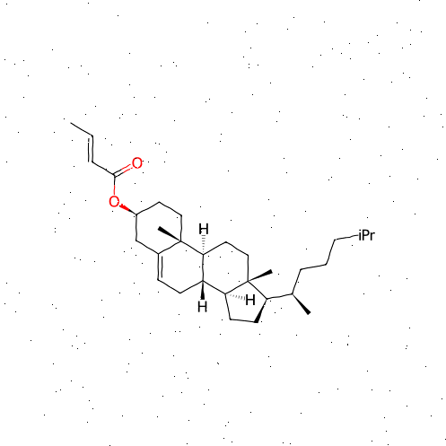 CC=CC(=O)O[C@H]1CC[C@@]2(C)C(=CC[C@H]3[C@@H]4CC[C@H]([C@H](C)CCCC(C)C)[C@@]4(C)CC[C@@H]32)C1